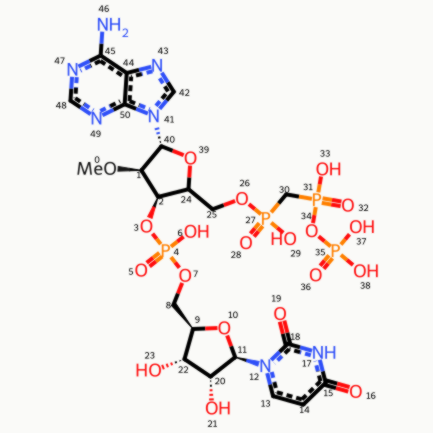 CO[C@@H]1[C@H](OP(=O)(O)OC[C@H]2O[C@@H](n3ccc(=O)[nH]c3=O)[C@H](O)[C@@H]2O)C(COP(=O)(O)CP(=O)(O)OP(=O)(O)O)O[C@H]1n1cnc2c(N)ncnc21